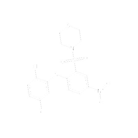 O=[N+]([O-])c1ccc(Sc2cc(Cl)ccc2Cl)c(S(=O)(=O)N2CCSCC2)c1